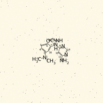 CN(C)c1cccc(Nc2cc(N)ncn2)c1.N=C=O